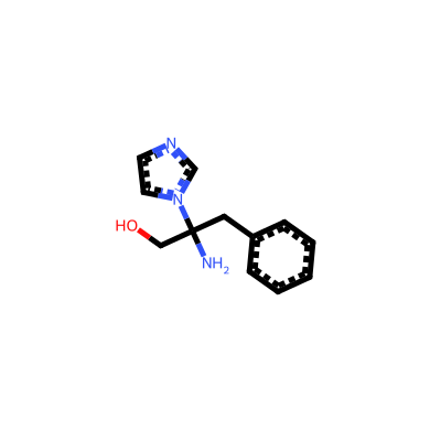 NC(CO)(Cc1ccccc1)n1ccnc1